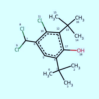 CC(C)(C)c1cc(C(Cl)Cl)c(Cl)c(C(C)(C)C)c1O